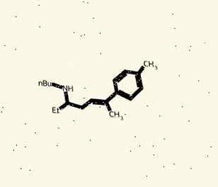 CCCCNC(CC)C/C=C(\C)c1ccc(C)cc1